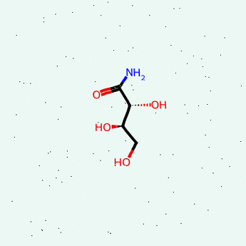 NC(=O)[C@H](O)[C@H](O)CO